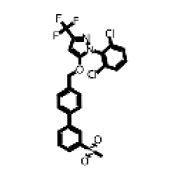 CS(=O)(=O)c1cccc(-c2ccc(COc3cc(C(F)(F)F)nn3-c3c(Cl)cccc3Cl)cc2)c1